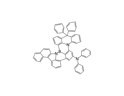 c1ccc(N(c2ccccc2)c2cc3c4c(c2)N2c5ccccc5C(c5ccccc5)(c5ccccc5)c5cccc(c52)B4n2c4ccc5ccccc5c4c4cccc-3c42)cc1